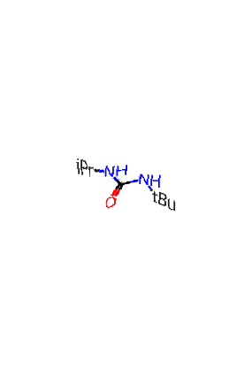 CC(C)NC(=O)NC(C)(C)C